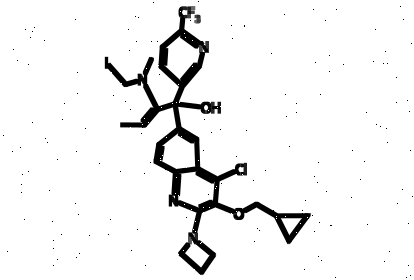 C/C=C(\N(C)CI)C(O)(c1ccc(C(F)(F)F)nc1)c1ccc2nc(N3CCC3)c(OCC3CC3)c(Cl)c2c1